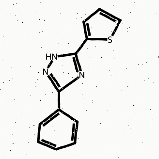 c1ccc(-c2n[nH]c(-c3cccs3)n2)cc1